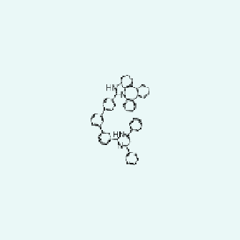 C1=CC2=C(CC1)C1=C3C(=CCC1)NC(c1ccc(-c4cccc(-c5cccc(C6N=C(c7ccccc7)C=C(c7ccccc7)N6)c5)c4)cc1)N3c1ccccc12